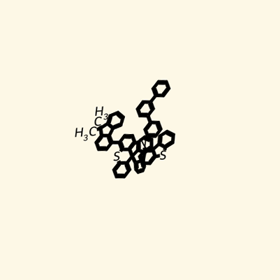 CC1(C)c2ccccc2-c2c(-c3ccc(N(c4cccc(-c5cccc(-c6ccccc6)c5)c4)c4cccc5sc6ccccc6c45)c4c3Sc3ccccc3C43c4ccccc4-c4ccccc43)cccc21